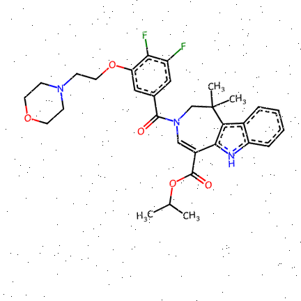 CC(C)OC(=O)C1=CN(C(=O)c2cc(F)c(F)c(OCCN3CCOCC3)c2)CC(C)(C)c2c1[nH]c1ccccc21